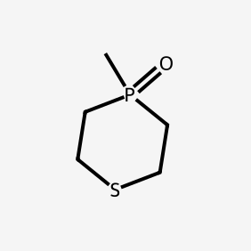 CP1(=O)CCSCC1